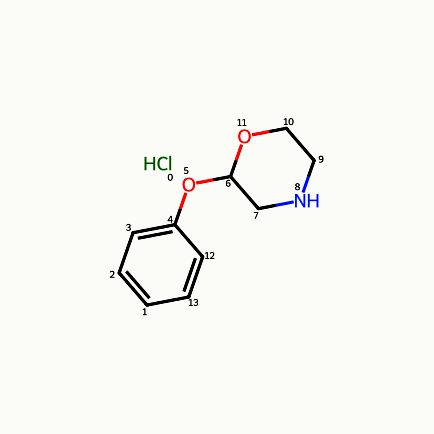 Cl.c1ccc(OC2CNCCO2)cc1